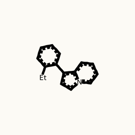 CCc1ccccc1-c1ccn2ccccc12